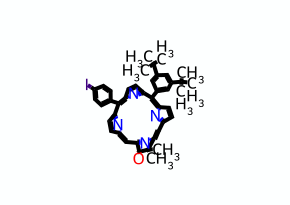 CC1(C)C(=O)C2=NC1=CC1=NC(=C(c3cc(C(C)(C)C)cc(C(C)(C)C)c3)C3=NC(=C(c4ccc(I)cc4)C4=NC(=C2)C=C4)C=C3)C=C1